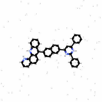 c1ccc(-c2cc(-c3ccc4cc(-c5c6ccccc6nc6c5ccc5cccnc56)ccc4c3)nc(-c3ccccc3)n2)cc1